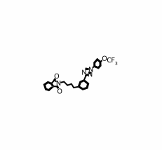 O=C1c2ccccc2C(=O)N1CCCCc1cccc(-c2ncn(-c3ccc(OC(F)(F)F)cc3)n2)c1